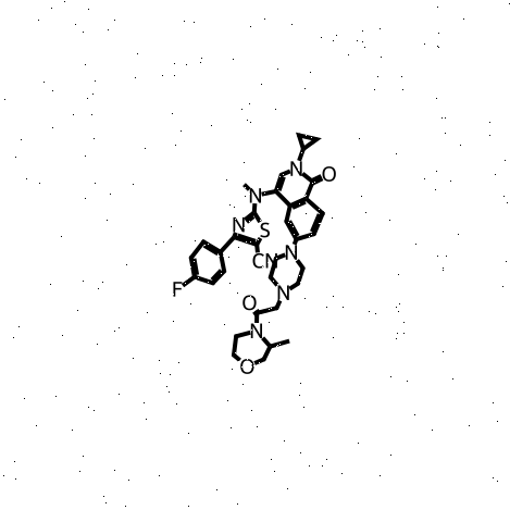 CC1COCCN1C(=O)CN1CCN(c2ccc3c(=O)n(C4CC4)cc(N(C)c4nc(-c5ccc(F)cc5)c(C#N)s4)c3c2)CC1